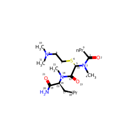 CCCC(=O)N(C)[C@@H](SCCN(C)C)C(=O)N(C)[C@@H](CC(C)C)C(N)=O